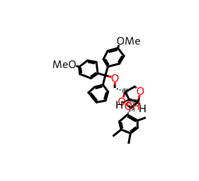 COc1ccc(C(OC[C@@]23CO[C@@H]([C@H](c4cc(C)c(C)cc4C)O2)[C@@H]3O)(c2ccccc2)c2ccc(OC)cc2)cc1